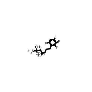 CCC(CCCc1c(F)cc(F)c(F)c1F)CC(C)(N)C(=O)O